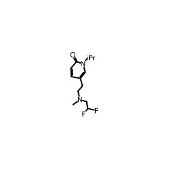 CC(C)n1cc(CCN(C)CC(F)F)ccc1=O